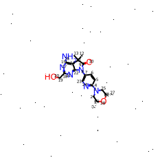 C[C@@H]1CN(c2ccc(N3C(=O)C(C)(C)c4c(N)nc(CO)nc43)cn2)C[C@H](C)O1